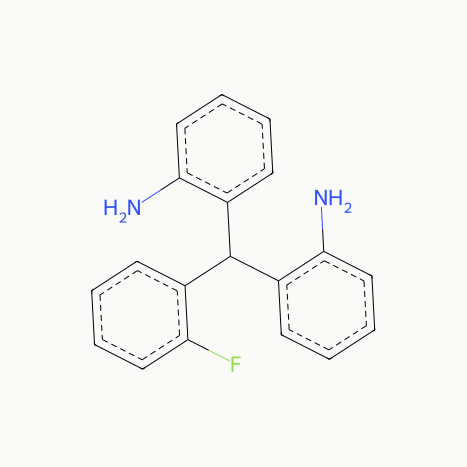 Nc1ccccc1C(c1ccccc1N)c1ccccc1F